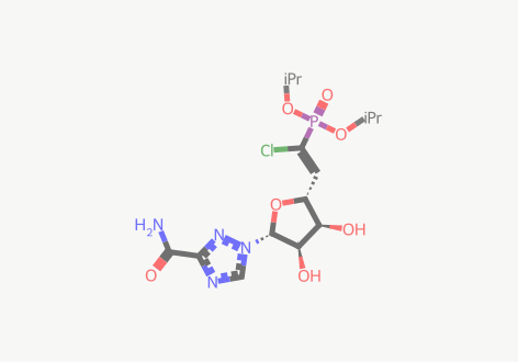 CC(C)OP(=O)(OC(C)C)/C(Cl)=C/[C@H]1O[C@@H](n2cnc(C(N)=O)n2)[C@H](O)[C@@H]1O